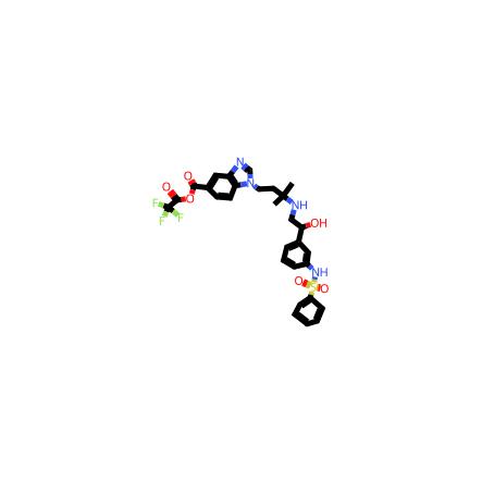 CC(C)(CCn1cnc2cc(C(=O)OC(=O)C(F)(F)F)ccc21)NCC(O)c1cccc(NS(=O)(=O)c2ccccc2)c1